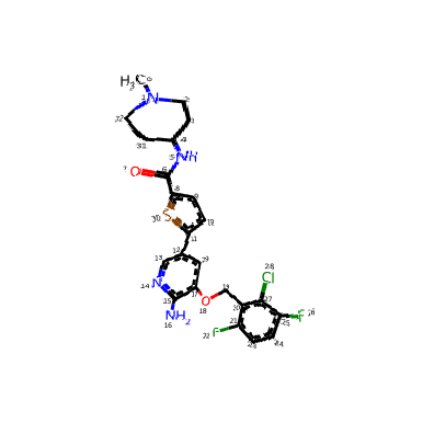 CN1CCC(NC(=O)c2ccc(-c3cnc(N)c(OCc4c(F)ccc(F)c4Cl)c3)s2)CC1